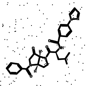 CC(C)C[C@H](NC(=O)c1ccc(-n2cccn2)cc1)C(=O)N1CC[C@@H]2[C@H]1C(=O)CN2C(=O)c1ccccc1